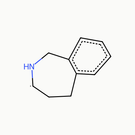 [CH]1CCc2ccccc2CN1